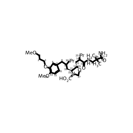 COCCCOc1cc(CC(C[C@H]2[C@H](CC(C(=O)NCC(C)(C)C(N)=O)C(C)C)OCN2C(=O)O)C(C)C)ccc1OC